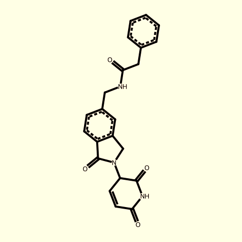 O=C1C=CC(N2Cc3cc(CNC(=O)Cc4ccccc4)ccc3C2=O)C(=O)N1